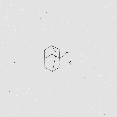 [K+].[O-]C12CC3CC(CC(C3)C1)C2